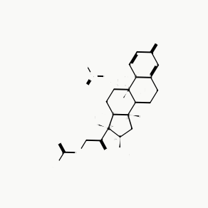 CC(=O)OCC(=O)[C@@]1(O)[C@H](C)C[C@H]2[C@@H]3CCC4=CC(=O)C=C[C@]4(C)[C@@]3(F)[C@@H](O[N+](=O)[O-])C[C@@]21C